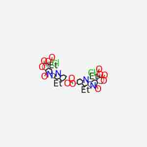 CCc1c2c(nc3ccc(OC(=O)Oc4ccc5nc6c(c(CC)c5c4)Cn4c-6cc5c(c4=O)COC(=O)[C@@]5(CC)OC(=O)Cl)cc13)-c1cc3c(c(=O)n1C2)COC(=O)[C@@]3(CC)OC(=O)Cl